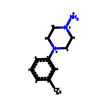 NN1CCN(c2cccc(C(F)(F)F)c2)CC1